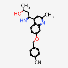 Cc1cc(C(=N)C[C@@H](C)O)c2ccc(OCc3ccc(C#N)cc3)cc2n1